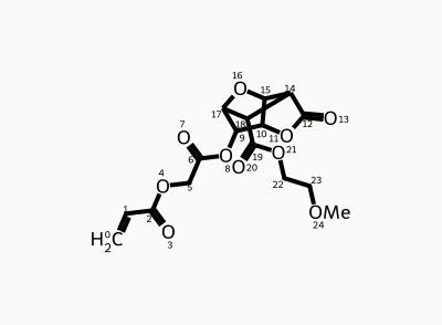 C=CC(=O)OCC(=O)OC1C2OC(=O)C3C2OC1C3C(=O)OCCOC